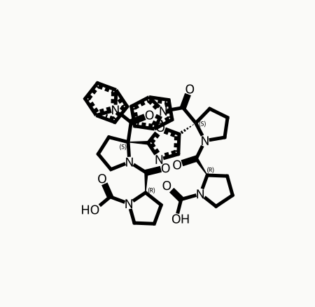 O=C(O)N1CCC[C@@H]1C(=O)N1CCC[C@@]1(C(=O)n1c2ccc1cc2)c1cnc([C@]2(C(=O)n3c4ccc3cc4)CCCN2C(=O)[C@H]2CCCN2C(=O)O)o1